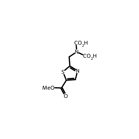 COC(=O)c1cnc(CN(C(=O)O)C(=O)O)s1